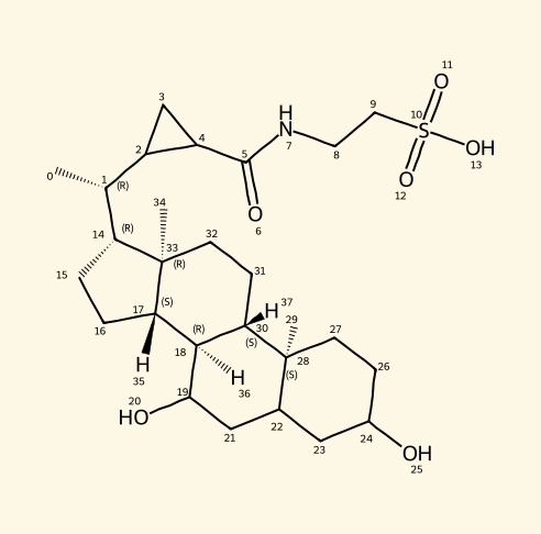 C[C@H](C1CC1C(=O)NCCS(=O)(=O)O)[C@H]1CC[C@H]2[C@@H]3C(O)CC4CC(O)CC[C@]4(C)[C@H]3CC[C@]12C